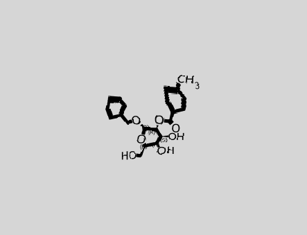 Cc1ccc(C(=O)O[C@H]2[C@H](OCc3ccccc3)O[C@H](CO)[C@H](O)[C@@H]2O)cc1